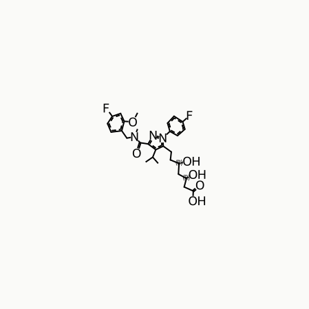 COc1cc(F)ccc1CN(C)C(=O)c1nn(-c2ccc(F)cc2)c(CC[C@@H](O)C[C@@H](O)CC(=O)O)c1C(C)C